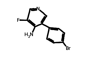 Nc1c(F)cncc1-c1ccc(Br)cc1